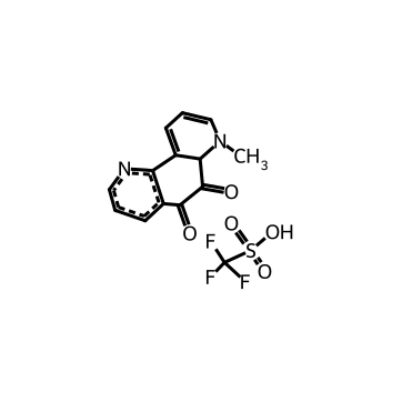 CN1C=CC=C2c3ncccc3C(=O)C(=O)C21.O=S(=O)(O)C(F)(F)F